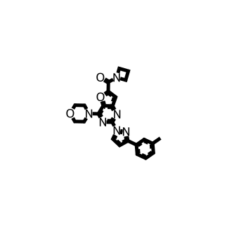 Cc1cccc(-c2ccn(-c3nc(N4CCOCC4)c4oc(C(=O)N5CCC5)cc4n3)n2)c1